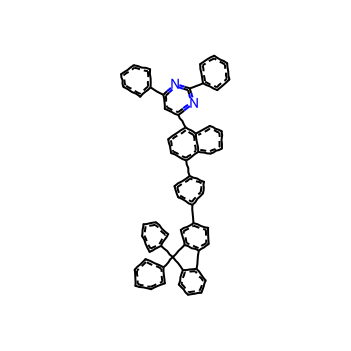 c1ccc(-c2cc(-c3ccc(-c4ccc(-c5ccc6c(c5)C(c5ccccc5)(c5ccccc5)c5ccccc5-6)cc4)c4ccccc34)nc(-c3ccccc3)n2)cc1